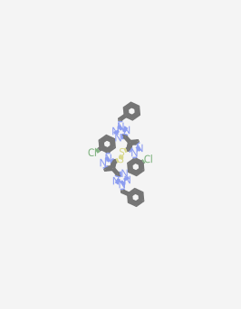 Clc1ccccc1-n1ncc(-c2nnn(Cc3ccccc3)n2)c1SSc1c(-c2nnn(Cc3ccccc3)n2)cnn1-c1ccccc1Cl